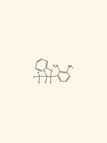 Nc1cccc(C(F)(Oc2ccccc2)C(F)(F)C(F)(F)F)c1N